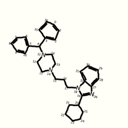 c1ccc(C(c2ccccc2)N2CCN(CCCn3c(C4CCCCC4)nc4ccccc43)CC2)cc1